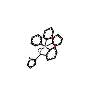 c1ccc(P2(c3ccccc3)(c3ccccc3)OC(c3cccs3)c3ccccc32)cc1